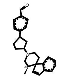 C[C@H]1CN(C2CCC(c3ccc(C=O)cc3)C2)CCC12C=Cc1ccccc12